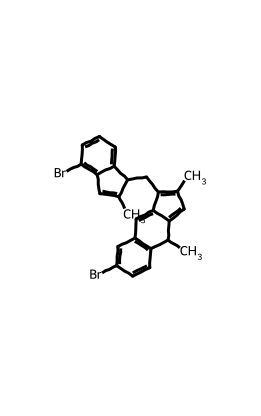 CC1=Cc2c(Br)cccc2C1CC1=C(C)C=C2C1=Cc1cc(Br)ccc1C2C